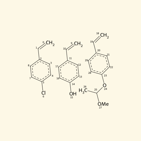 C=Cc1ccc(Cl)cc1.C=Cc1ccc(O)cc1.C=Cc1ccc(OC(C)OC)cc1